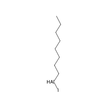 CCCCCCC[CH2][AlH][I]